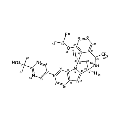 CC(C)(O)c1ncc(-c2ccc3nc4n(c3c2)[C@@H]2C[C@H]4NC(C(F)(F)F)c3cccc(OC(F)F)c32)cn1